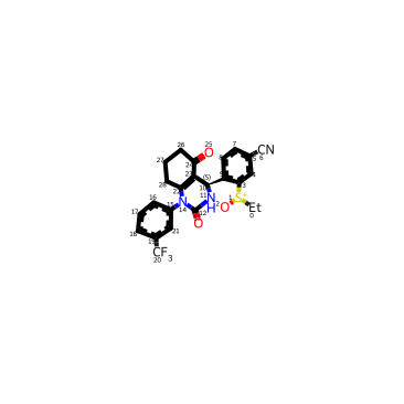 CC[S+]([O-])c1cc(C#N)ccc1[C@H]1NC(=O)N(c2cccc(C(F)(F)F)c2)C2=C1C(=O)CCC2